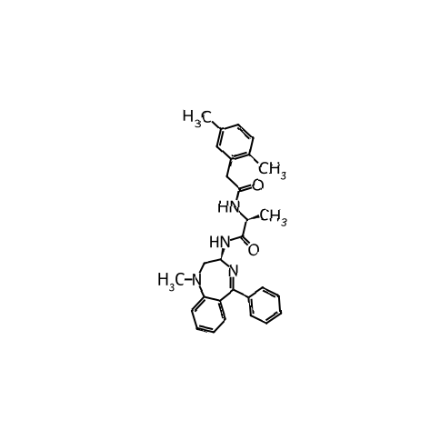 Cc1ccc(C)c(CC(=O)N[C@@H](C)C(=O)N[C@@H]2CN(C)c3ccccc3C(c3ccccc3)=N2)c1